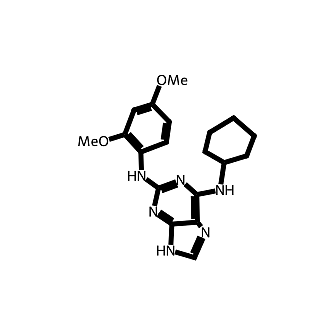 COc1ccc(Nc2nc(NC3CCCCC3)c3nc[nH]c3n2)c(OC)c1